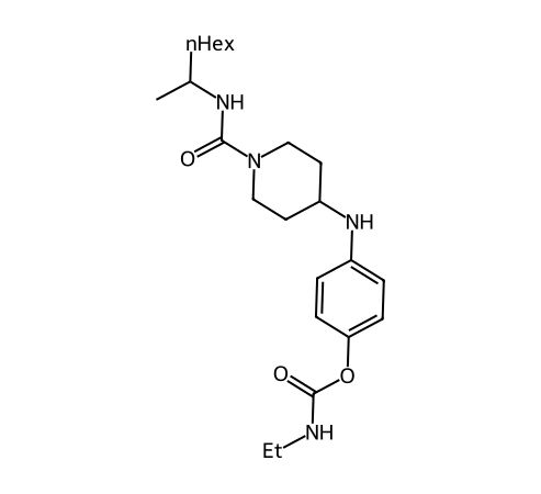 CCCCCCC(C)NC(=O)N1CCC(Nc2ccc(OC(=O)NCC)cc2)CC1